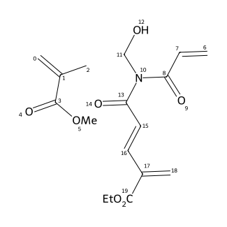 C=C(C)C(=O)OC.C=CC(=O)N(CO)C(=O)C=CC(=C)C(=O)OCC